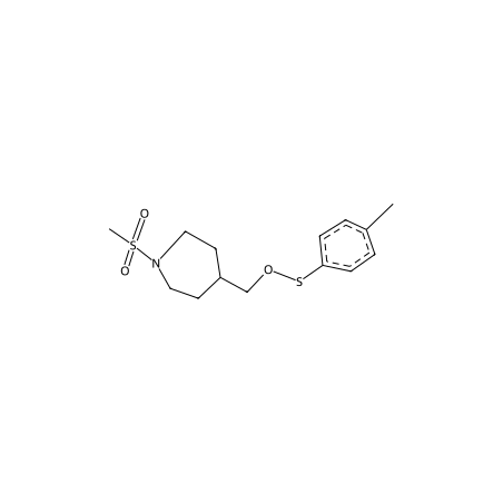 Cc1ccc(SOCC2CCN(S(C)(=O)=O)CC2)cc1